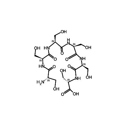 N[C@@H](CO)C(=O)N[C@@H](CO)C(=O)N[C@@H](CO)C(=O)N[C@@H](CO)C(=O)N[C@@H](CO)C(=O)N[C@@H](CO)C(=O)O